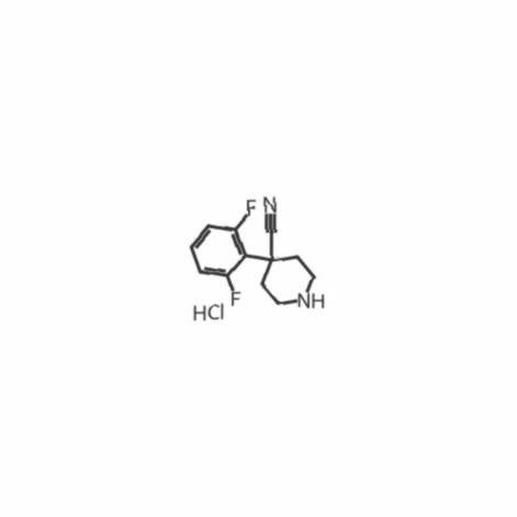 Cl.N#CC1(c2c(F)cccc2F)CCNCC1